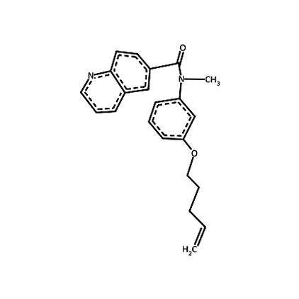 C=CCCCOc1cccc(N(C)C(=O)c2ccc3ncccc3c2)c1